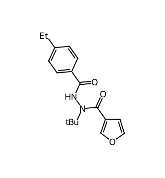 CCc1ccc(C(=O)NN(C(=O)c2ccoc2)C(C)(C)C)cc1